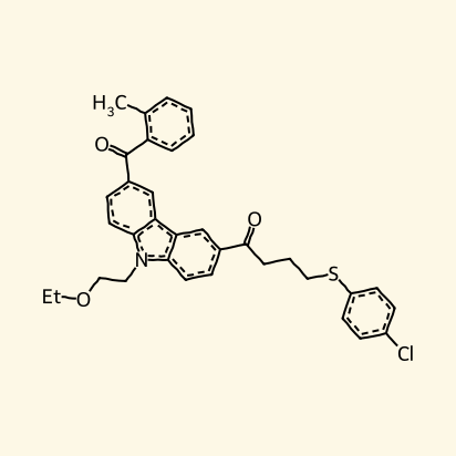 CCOCCn1c2ccc(C(=O)CCCSc3ccc(Cl)cc3)cc2c2cc(C(=O)c3ccccc3C)ccc21